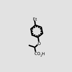 CCc1ccc(OC(C)C(=O)O)cc1